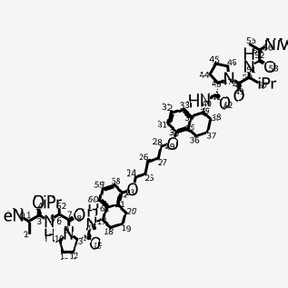 CNC(C)C(=O)NC(C(=O)N1CCC[C@H]1C(=O)N[C@@H]1CCCc2c(OCCCCCOc3cccc4c3CCC[C@H]4NC(=O)[C@@H]3CCCN3C(=O)C(NC(=O)C(C)NC)C(C)C)cccc21)C(C)C